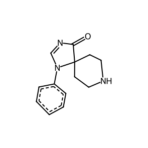 O=C1N=CN(c2ccccc2)C12CCNCC2